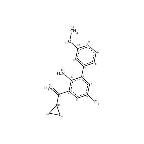 C=C(c1cc(F)cc(-c2ccnc(OC)c2)c1N)C1CC1